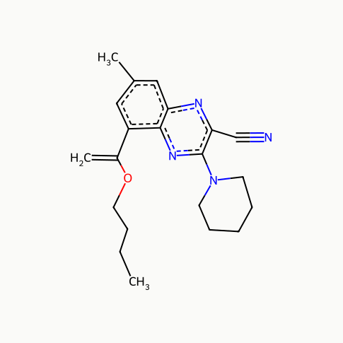 C=C(OCCCC)c1cc(C)cc2nc(C#N)c(N3CCCCC3)nc12